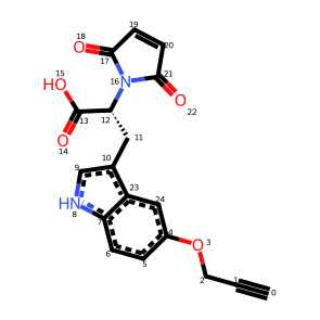 C#CCOc1ccc2[nH]cc(C[C@H](C(=O)O)N3C(=O)C=CC3=O)c2c1